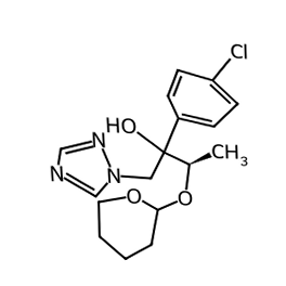 C[C@@H](OC1CCCCO1)C(O)(Cn1cncn1)c1ccc(Cl)cc1